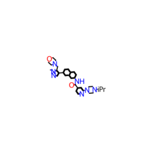 CC(C)N1CCN(c2cc(C(=O)Nc3ccc4ccc(-c5cnn(C)c5CN5CCOCC5)cc4c3)ccn2)CC1